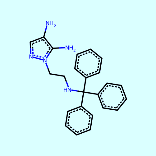 Nc1cnn(CCNC(c2ccccc2)(c2ccccc2)c2ccccc2)c1N